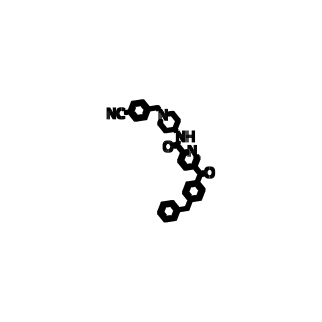 N#Cc1ccc(CN2CCC(NC(=O)c3ccc(C(=O)c4ccc(Cc5ccccc5)cc4)cn3)CC2)cc1